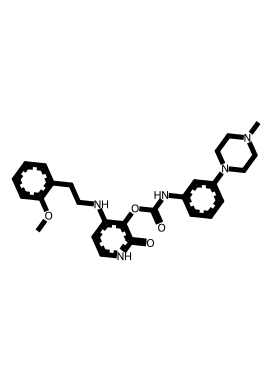 COc1ccccc1CCNc1cc[nH]c(=O)c1OC(=O)Nc1cccc(N2CCN(C)CC2)c1